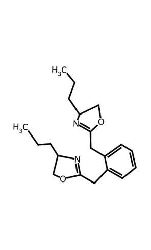 CCCC1COC(Cc2ccccc2CC2=NC(CCC)CO2)=N1